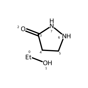 CCO.O=C1CCNN1